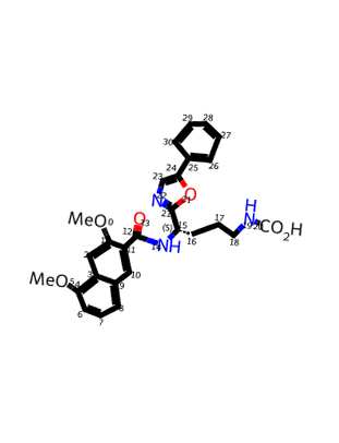 COc1cc2c(OC)cccc2cc1C(=O)N[C@@H](CCCNC(=O)O)c1ncc(-c2ccccc2)o1